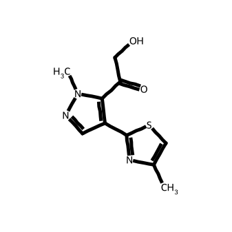 Cc1csc(-c2cnn(C)c2C(=O)CO)n1